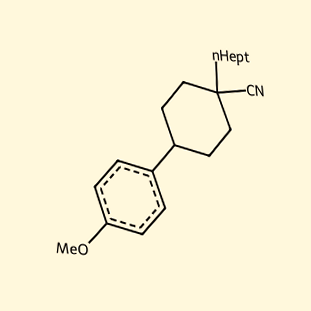 CCCCCCCC1(C#N)CCC(c2ccc(OC)cc2)CC1